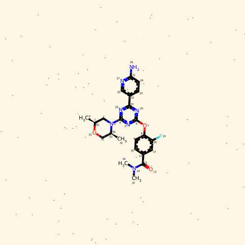 C[C@H]1CN(c2nc(Oc3ccc(C(=O)N(C)C)cc3F)nc(-c3ccc(N)nc3)n2)[C@@H](C)CO1